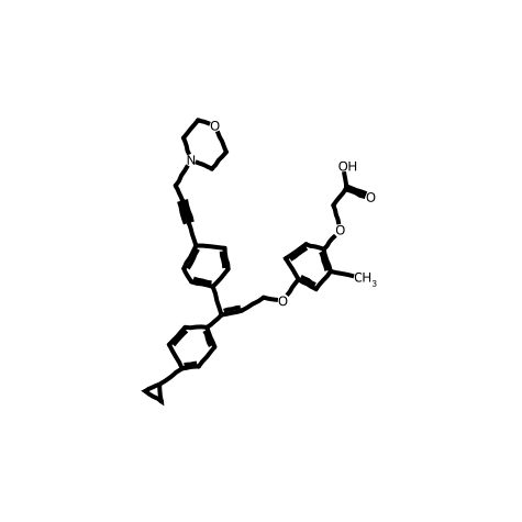 Cc1cc(OCC=C(c2ccc(C#CCN3CCOCC3)cc2)c2ccc(C3CC3)cc2)ccc1OCC(=O)O